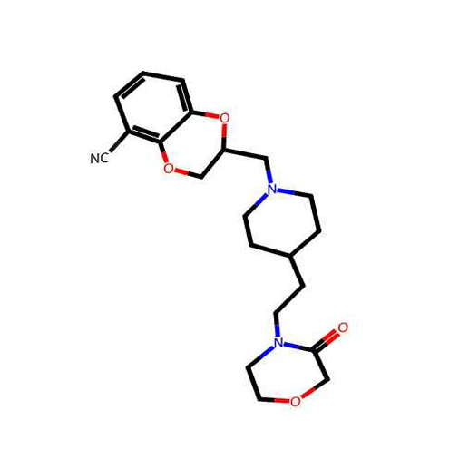 N#Cc1cccc2c1OCC(CN1CCC(CCN3CCOCC3=O)CC1)O2